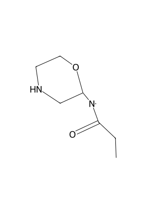 CCC(=O)[N]C1CNCCO1